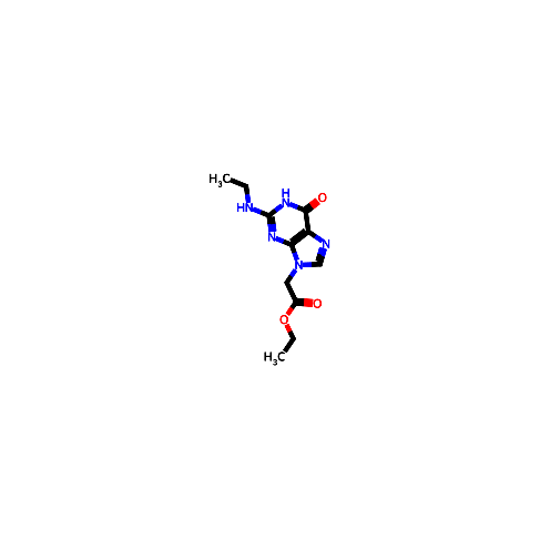 CCNc1nc2c(ncn2CC(=O)OCC)c(=O)[nH]1